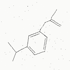 C=C(C)Cc1cccc(C(C)C)c1